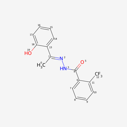 C/C(=N\NC(=O)c1ccccc1C(F)(F)F)c1ccccc1O